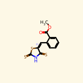 COC(=O)c1ccccc1/C=C1/SC(=S)NC1=S